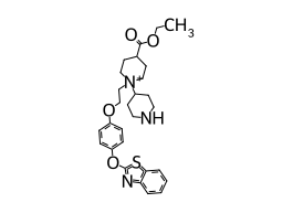 CCOC(=O)C1CC[N+](CCOc2ccc(Oc3nc4ccccc4s3)cc2)(C2CCNCC2)CC1